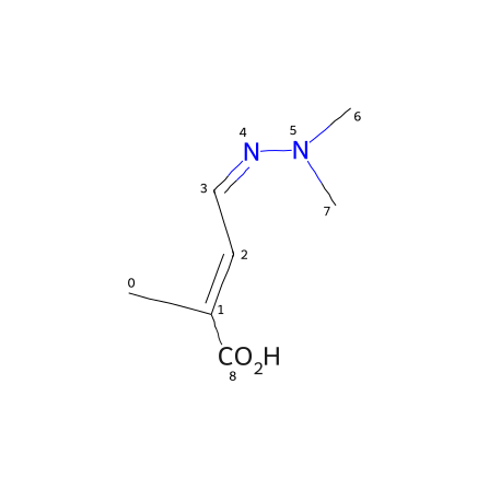 C/C(=C\C=N/N(C)C)C(=O)O